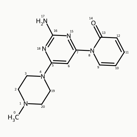 CN1CCN(c2cc(-n3ccccc3=O)nc(N)n2)CC1